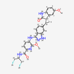 COc1ccc2c(c1)[C@]1(C[C@H]1c1ccc3c(Nc4ccc(C(=O)NC(CF)CF)nc4OC)n[nH]c3c1)C(=O)N2